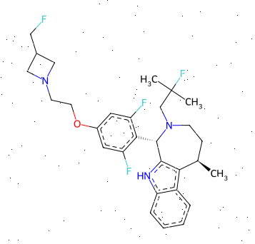 C[C@@H]1CCN(CC(C)(C)F)[C@@H](c2c(F)cc(OCCN3CC(CF)C3)cc2F)c2[nH]c3ccccc3c21